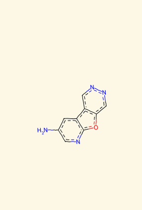 Nc1cnc2oc3cnncc3c2c1